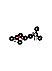 C1=CCCC(C2CC(c3ccccc3)NC(c3ccc(-c4ccc5c(c4)c4ccccc4n5-c4ccccc4-c4cccc5c6c(oc45)CCC=C6)cc3)N2)=C1